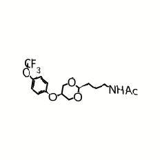 CC(=O)NCCC[C@H]1OC[C@@H](Oc2ccc(OC(F)(F)F)cc2)CO1